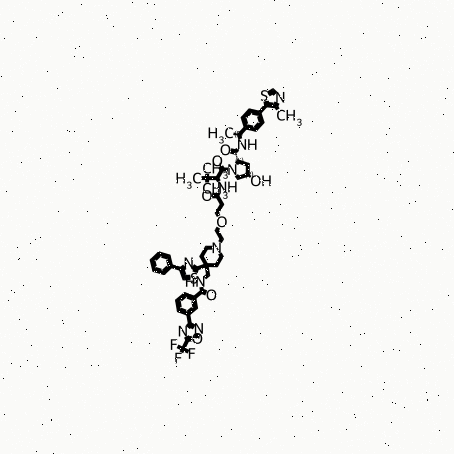 Cc1ncsc1-c1ccc([C@H](C)NC(=O)[C@@H]2C[C@@H](O)CN2C(=O)C(NC(=O)CCOCCN2CCC(CNC(=O)c3cccc(-c4noc(C(F)(F)F)n4)c3)(c3nc(-c4ccccc4)cs3)CC2)C(C)(C)C)cc1